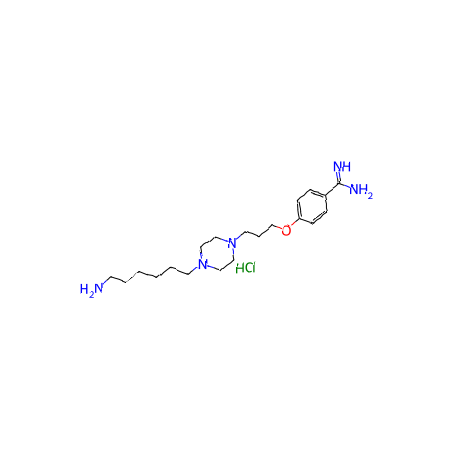 Cl.N=C(N)c1ccc(OCCCN2CCN(CCCCCCN)CC2)cc1